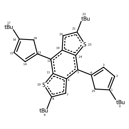 CC(C)(C)C1=CC=C(c2c3cc(C(C)(C)C)sc3c(C3=CC=C(C(C)(C)C)C3)c3cc(C(C)(C)C)sc23)C1